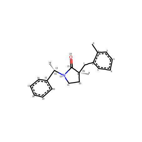 Cc1ccccc1C[C@@]1(C)CCN([C@@H](C)c2ccccc2)C1=O